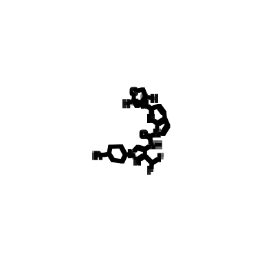 CC(C)C1CCC(n2cc(NC(=O)n3ccc4ccc(N5C[C@H]6C[C@@H]5CO6)nc43)c(C(F)F)n2)CC1